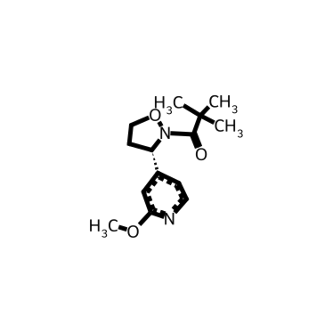 COc1cc([C@@H]2CCON2C(=O)C(C)(C)C)ccn1